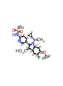 C[C@H](C1CC1)n1c(-c2ccc(NS(=O)(=O)C(C)(C)C)nc2)c(C(=O)O)c2cc(F)c(OC(F)F)cc21